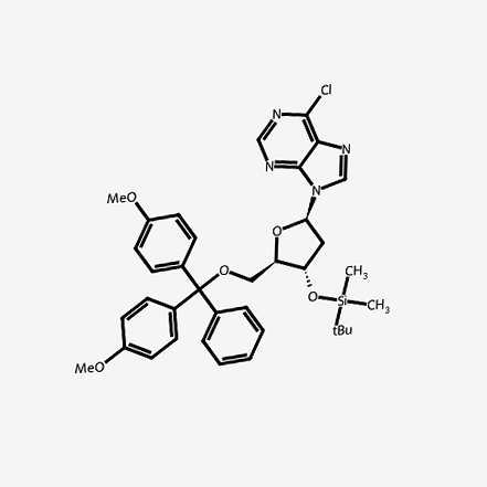 COc1ccc(C(OC[C@H]2O[C@@H](n3cnc4c(Cl)ncnc43)C[C@@H]2O[Si](C)(C)C(C)(C)C)(c2ccccc2)c2ccc(OC)cc2)cc1